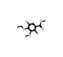 CCOc1c(F)cc(C(=O)OC)c(C)c1OC